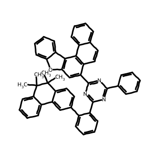 CC1(C)c2ccccc2-c2cc(-c3ccccc3-c3nc(-c4ccccc4)nc(-c4cc5oc6ccccc6c5c5c4ccc4ccccc45)n3)ccc2C1(C)C